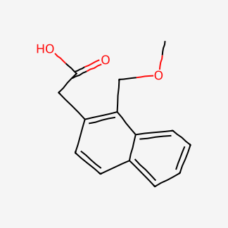 COCc1c(CC(=O)O)ccc2ccccc12